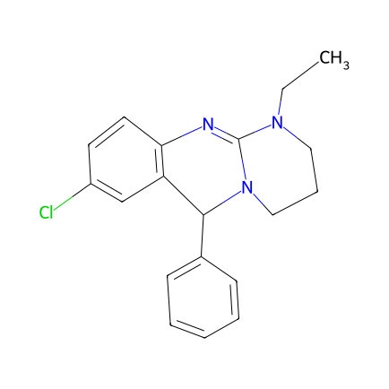 CCN1CCCN2C1=Nc1ccc(Cl)cc1C2c1ccccc1